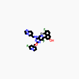 CCc1c(F)ccc2cc(O)cc(-c3ncc4c(NCc5ccc6nccn6c5)nc(OC[C@@]56CCCN5C[C@H](F)C6)nc4c3F)c12